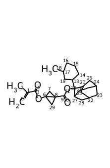 C=C(C)C(=O)OC12CC1(C(=O)OC1(C3CCCC(C)C3)C3CC4CC(C3)CC1C4)C2